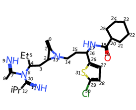 C=C1C(CC(CC)N(C(C)=N)C(=N)C(C)C)N1CCC(NC(=O)C1CCCCC1)c1ccc(Cl)s1